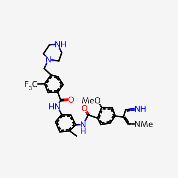 CN/C=C(\C=N)c1ccc(C(=O)Nc2cc(NC(=O)c3ccc(CN4CCNCC4)c(C(F)(F)F)c3)ccc2C)c(OC)c1